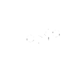 CCOc1cc(Br)cc(/C=N/NC(=O)c2ccccc2Br)c1O